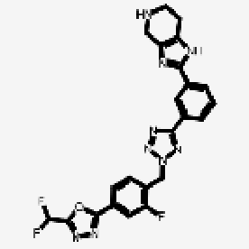 Fc1cc(-c2nnc(C(F)F)o2)ccc1Cn1nnc(-c2cccc(-c3nc4c([nH]3)CCNC4)c2)n1